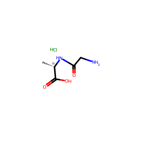 C[C@H](NC(=O)CN)C(=O)O.Cl